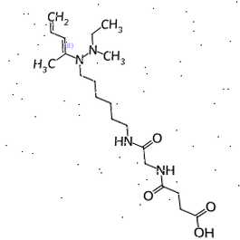 C=C/C=C(\C)N(CCCCCCNC(=O)CNC(=O)CCC(=O)O)N(C)CC